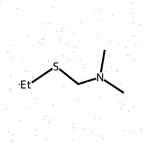 C[CH]SCN(C)C